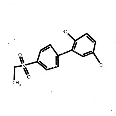 CCS(=O)(=O)c1ccc(-c2cc(Cl)ccc2[O])cc1